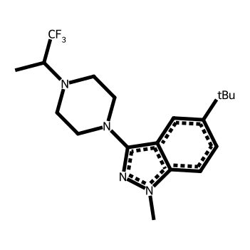 CC(N1CCN(c2nn(C)c3ccc(C(C)(C)C)cc23)CC1)C(F)(F)F